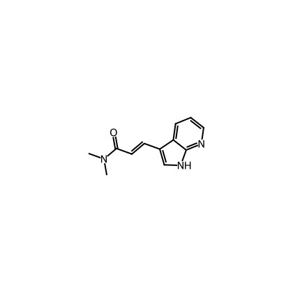 CN(C)C(=O)C=Cc1c[nH]c2ncccc12